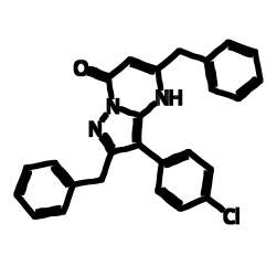 O=c1cc(Cc2ccccc2)[nH]c2c(-c3ccc(Cl)cc3)c(Cc3ccccc3)nn12